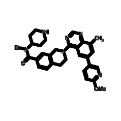 CCN(C(=O)c1ccc2c(c1)CN(c1ncnc3c(C)cc(-c4ccc(OC)nc4)cc13)CC2)C1CCNCC1